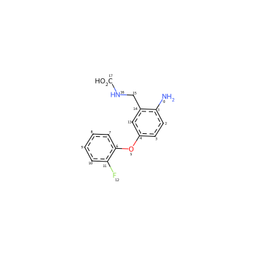 Nc1ccc(Oc2ccccc2F)cc1CNC(=O)O